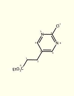 CCOC(=O)CCc1cnc(Cl)nc1